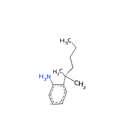 CCCCC(C)(C)c1cc[c]cc1N